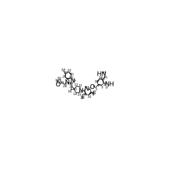 CNc1cc(COc2nc(N3CCC4(CC3)CC4c3nc4ccc(C)cc4n3CC3CCO3)c(F)cc2F)ccc1C=N